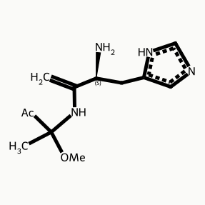 C=C(NC(C)(OC)C(C)=O)[C@@H](N)Cc1cnc[nH]1